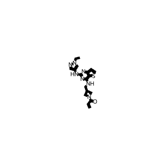 C=CC(=O)N1CC(CNc2nc(Nc3cnn(CC)c3)nc3ccsc23)C1